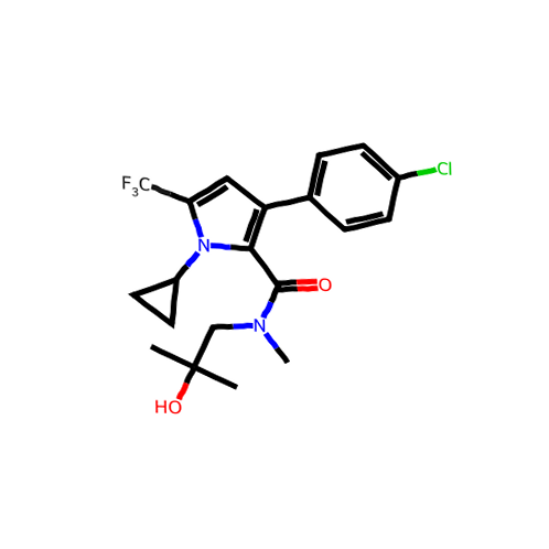 CN(CC(C)(C)O)C(=O)c1c(-c2ccc(Cl)cc2)cc(C(F)(F)F)n1C1CC1